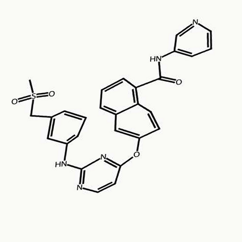 CS(=O)(=O)Cc1cccc(Nc2nccc(Oc3ccc4c(C(=O)Nc5cccnc5)cccc4c3)n2)c1